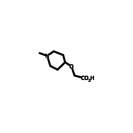 CN1CCC(OCC(=O)O)CC1